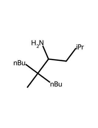 CCCCC(C)(CCCC)C(N)CC(C)C